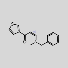 CN(/C=C\C(=O)c1ccsc1)Cc1ccccc1